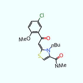 CCCCN1C(=CC(=O)c2cc(Cl)ccc2OC)SC=C1C(=O)NC